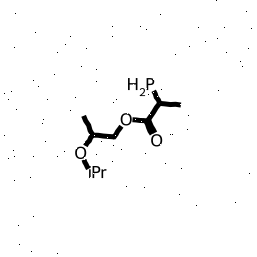 CC(C)OC(C)COC(=O)C(C)P